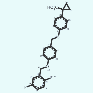 O=C(O)C1(c2ccc(SCc3ccc(OCc4cc(F)ccc4F)cc3)cc2)CC1